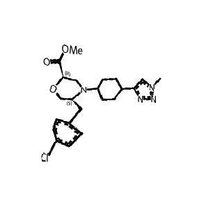 COC(=O)[C@H]1CN(C2CCC(c3cn(C)nn3)CC2)[C@@H](Cc2ccc(Cl)cc2)CO1